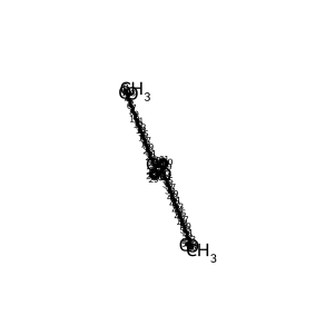 COC(=O)CCCCCCCCCCCCCCCCCCCCOc1c2ccccc2c(OCCCCCCCCCCCCCCCCCCCCC(=O)OC)c2ccccc12